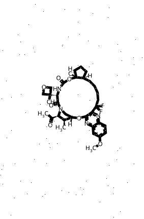 COc1ccc2nc3c(nc2c1)O[C@H]1CN(C(=O)[C@H](C2(C)COC2)NC(=O)O[C@]2(C)CCC[C@H]2CCCCC3(F)F)[C@H](C(C)=O)[C@@H]1C